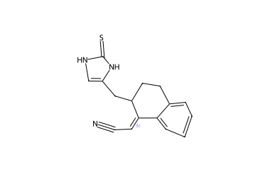 N#C/C=C1/c2ccccc2CCC1Cc1c[nH]c(=S)[nH]1